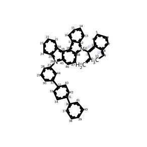 C=C/C(=c1/cccc/c1=C/C)n1c2ccccc2c2c3c4ccccc4n(-c4cccc(-c5ccc(-c6ccccc6)cc5)c4)c3ccc21